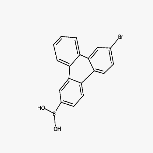 OB(O)c1ccc2c3ccc(Br)cc3c3ccccc3c2c1